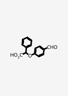 O=Cc1ccc(OC(C(=O)O)c2ccccc2)cc1